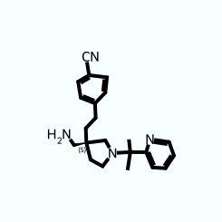 CC(C)(c1ccccn1)N1CC[C@](CN)(CCc2ccc(C#N)cc2)C1